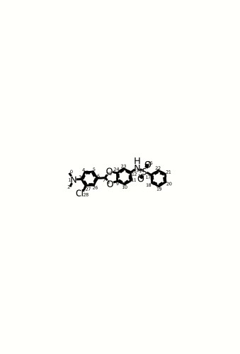 CN(C)c1ccc(C2Oc3ccc(NS(=O)(=O)c4ccccc4)cc3O2)cc1Cl